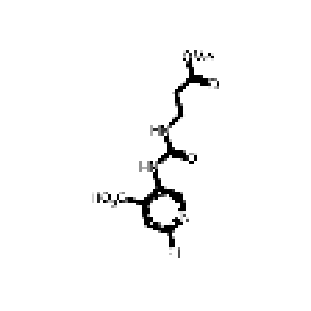 COC(=O)CCNC(=O)Nc1cnc(Cl)cc1C(=O)O